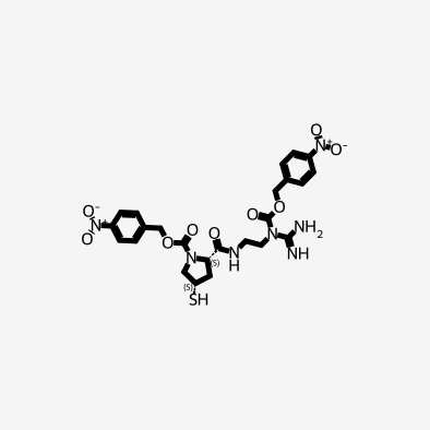 N=C(N)N(CCNC(=O)[C@@H]1C[C@H](S)CN1C(=O)OCc1ccc([N+](=O)[O-])cc1)C(=O)OCc1ccc([N+](=O)[O-])cc1